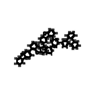 c1ccc(-c2nc(-c3ccc4c5ccccc5c5ccccc5c4c3)nc(-c3cccc4oc5ccc(-c6cccc7oc8c(-c9ccc%10c(c9)sc9ccccc9%10)cccc8c67)cc5c34)n2)cc1